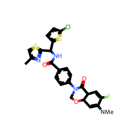 CNC1=CC2OCN(c3ccc(C(=O)NC(c4ccc(Cl)s4)c4nc(C)cs4)cc3)C(=O)C2C=C1F